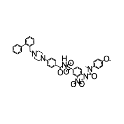 COc1ccc(N(C)C(=O)N(C)c2ccc(S(=O)(=O)NC(=O)c3ccc(N4CCN(Cc5ccccc5-c5ccccc5)CC4)cc3)cc2[N+](=O)[O-])cc1